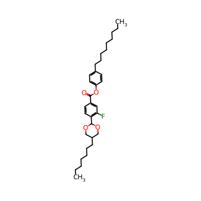 CCCCCCCCCc1ccc(OC(=O)c2ccc(C3OCC(CCCCCCC)CO3)c(F)c2)cc1